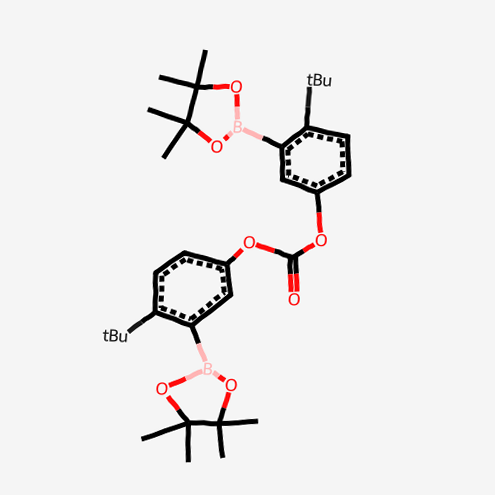 CC(C)(C)c1ccc(OC(=O)Oc2ccc(C(C)(C)C)c(B3OC(C)(C)C(C)(C)O3)c2)cc1B1OC(C)(C)C(C)(C)O1